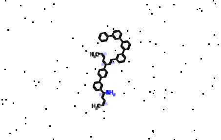 C/C=C\C=C(/N)c1cccc(-c2ccc(C(/C=C/c3cccc(-c4cccc(-c5cccc(-c6ccccc6)c5)c4)c3)=C/C=C\C)cc2)c1